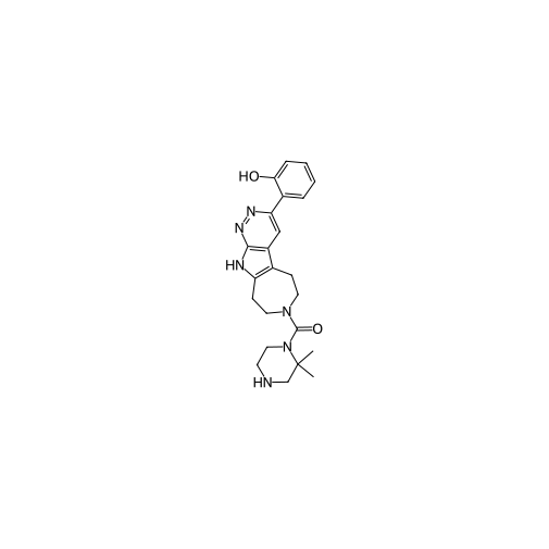 CC1(C)CNCCN1C(=O)N1CCc2[nH]c3nnc(-c4ccccc4O)cc3c2CC1